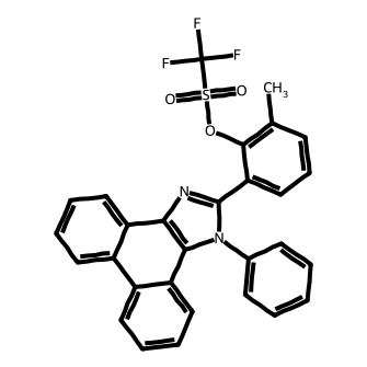 Cc1cccc(-c2nc3c4ccccc4c4ccccc4c3n2-c2ccccc2)c1OS(=O)(=O)C(F)(F)F